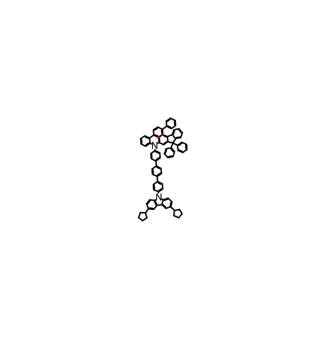 c1ccc(-c2ccc(-c3ccccc3N(c3ccc(-c4ccc(-c5ccc(-n6c7ccc(C8CCCC8)cc7c7cc(C8CCCC8)ccc76)cc5)cc4)cc3)c3ccc4c(c3)C(c3ccccc3)(c3ccccc3)c3ccccc3-4)cc2)cc1